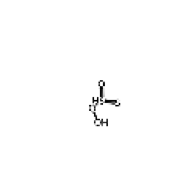 O=[SH](=S)OO